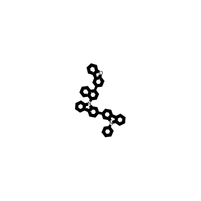 c1ccc(-n2c3ccccc3c3ccc(-c4ccc5c6ccccc6n(-c6ccc(-c7ccc8oc9ccccc9c8c7)c7ccccc67)c5c4)cc32)cc1